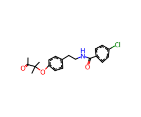 CC(=O)C(C)(C)Oc1ccc(CCNC(=O)c2ccc(Cl)cc2)cc1